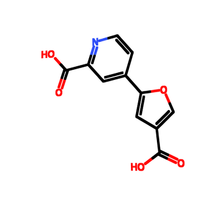 O=C(O)c1coc(-c2ccnc(C(=O)O)c2)c1